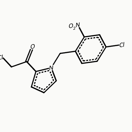 O=C(CCl)c1cccn1Cc1ccc(Cl)cc1[N+](=O)[O-]